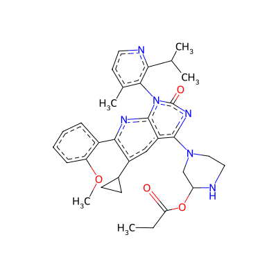 CCC(=O)OC1CN(c2nc(=O)n(-c3c(C)ccnc3C(C)C)c3nc(-c4ccccc4OC)c(C4CC4)cc23)CCN1